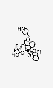 O=C(O)C(F)(F)F.O=S(=O)(Nc1cccc(OCC2CCNCC2)c1C(F)(F)F)c1ccccc1Cl